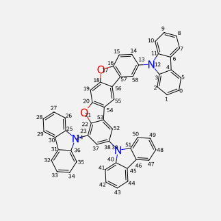 c1ccc2c(c1)c1ccccc1n2-c1ccc2oc3cc4oc5c(-n6c7ccccc7c7ccccc76)cc(-n6c7ccccc7c7ccccc76)cc5c4cc3c2c1